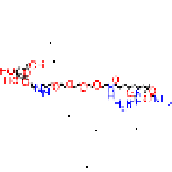 CC(C)(CC(CCCCC(=O)NCCOCCOCCOCCOCc1cn(CCO[C@@H]2O[C@H](CO)C[C@H](O)[C@H]2O)nn1)NC(=O)CN)OC(N)=O